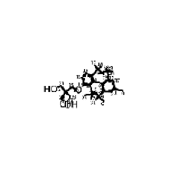 Cc1cc(C(C)(C)C)c(-c2c(C(C)(C)C)ccc(OCC(CO)(CO)CO)c2C(C)(C)C)c(C(C)(C)C)c1